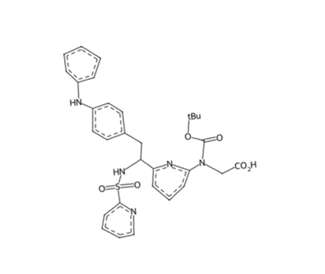 CC(C)(C)OC(=O)N(CC(=O)O)c1cccc(C(Cc2ccc(Nc3ccccc3)cc2)NS(=O)(=O)c2ccccn2)n1